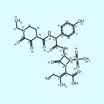 [2H]CC(C)=C(C(=O)O)N1C(=O)[C@@H](NC(=O)C(NC(=O)N2CCN(CC)C(=O)C2=O)c2ccc(O)cc2)[C@H]1S(C)(=O)=O